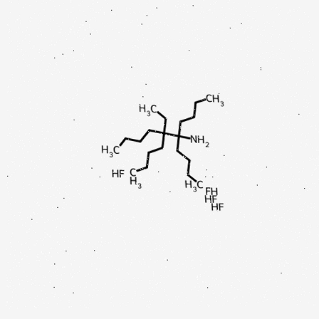 CCCCC(N)(CCCC)C(CC)(CCCC)CCCC.F.F.F.F